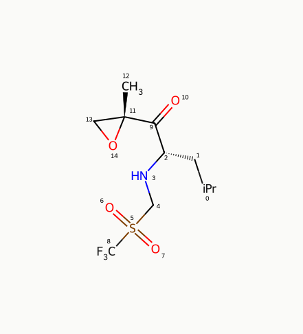 CC(C)C[C@H](NCS(=O)(=O)C(F)(F)F)C(=O)[C@@]1(C)CO1